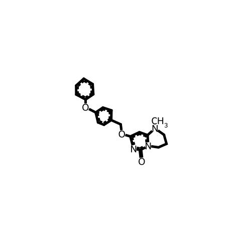 CN1CCCn2c1cc(OCc1ccc(Oc3ccccc3)cc1)nc2=O